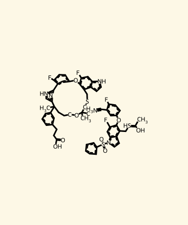 CC(O)=[SH]Cc1c(Oc2ccc(F)c(C#N)c2)c(F)cc2c1ccn2S(=O)(=O)c1ccccc1.CC1(C)CSCc2c(c(F)cc3[nH]ccc23)Oc2ccc(F)c(c2)-c2nc(c[nH]2)C(C)(c2cccc(CCC(=O)O)c2)CCCO1